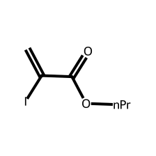 C=C(I)C(=O)OCCC